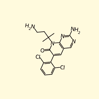 CC(C)(CCN)n1c(=O)c(-c2c(Cl)cccc2Cl)cc2cnc(N)nc21